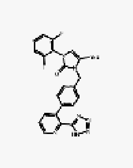 CCCCc1cn(-c2c(F)cccc2F)c(=O)n1Cc1ccc(-c2cccnc2-c2nnn[nH]2)cc1